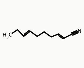 CCC=CCCCC=CC#N